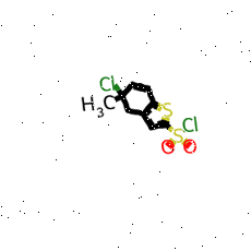 CC1(Cl)C=Cc2sc(S(=O)(=O)Cl)cc2C1